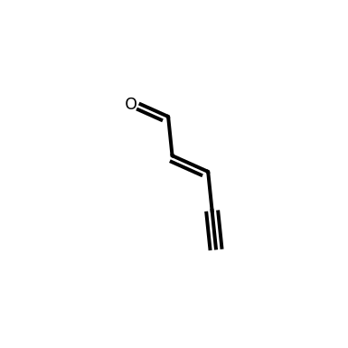 C#CC=CC=O